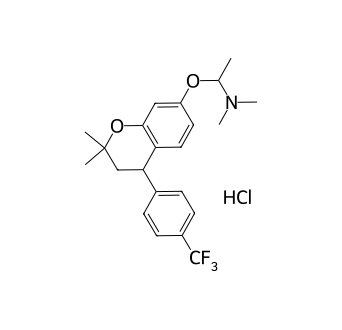 CC(Oc1ccc2c(c1)OC(C)(C)CC2c1ccc(C(F)(F)F)cc1)N(C)C.Cl